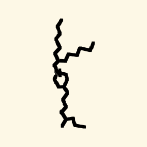 CCCCCCC(CCCCCC)CN1CCC(CCCCC(C)CCC)CC1